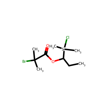 CCC(OC(=O)C(C)(C)Br)[Si](C)(C)Cl